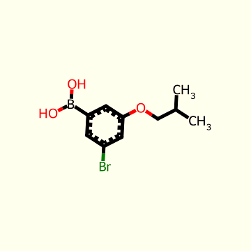 CC(C)COc1cc(Br)cc(B(O)O)c1